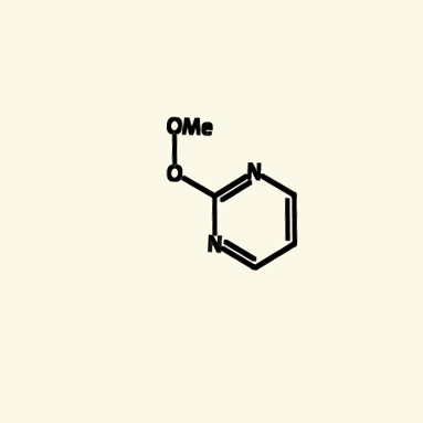 COOc1ncccn1